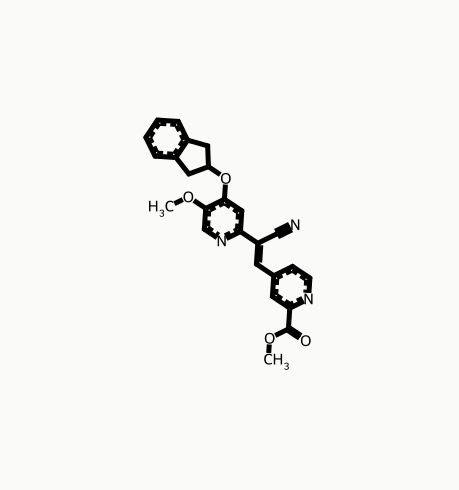 COC(=O)c1cc(C=C(C#N)c2cc(OC3Cc4ccccc4C3)c(OC)cn2)ccn1